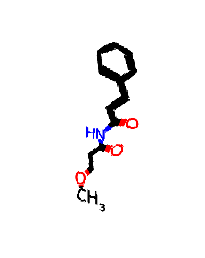 COCCC(=O)NC(=O)/C=C/c1ccccc1